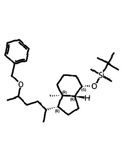 CC(CCC(C)[C@H]1CC[C@H]2[C@@H](O[Si](C)(C)C(C)(C)C)CCC[C@]12C)OCc1ccccc1